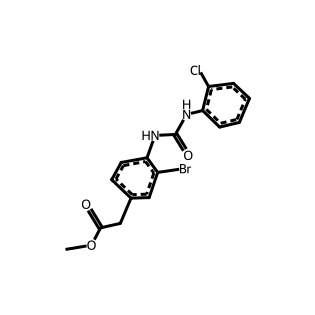 COC(=O)Cc1ccc(NC(=O)Nc2ccccc2Cl)c(Br)c1